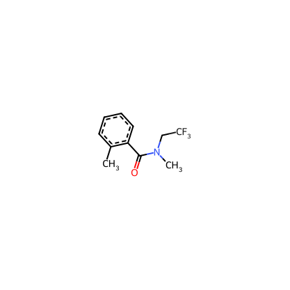 Cc1ccccc1C(=O)N(C)CC(F)(F)F